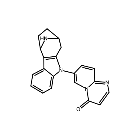 O=c1ccnc2ccc(-n3c4c(c5ccccc53)C3CCC(C4)N3)cn12